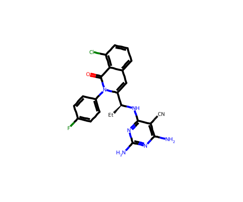 CC[C@H](Nc1nc(N)nc(N)c1C#N)c1cc2cccc(Cl)c2c(=O)n1-c1ccc(F)cc1